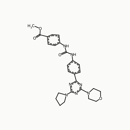 COC(=O)c1ccc(NC(=O)Nc2ccc(-c3nc(N4CCCC4)nc(N4CCOCC4)n3)cc2)cc1